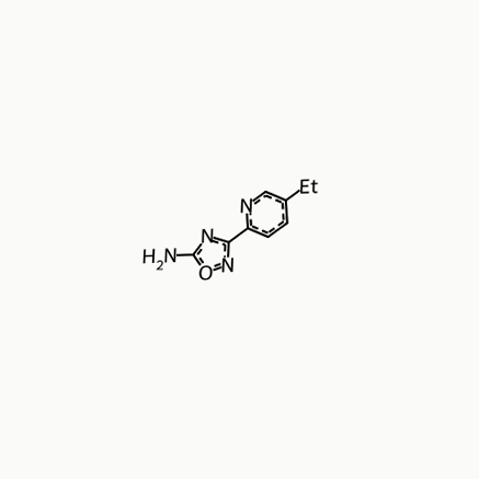 CCc1ccc(-c2noc(N)n2)nc1